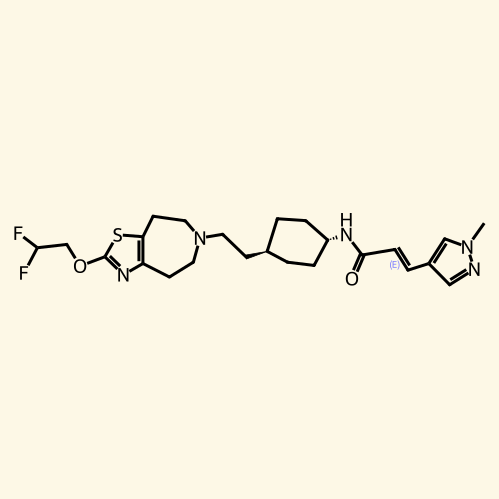 Cn1cc(/C=C/C(=O)N[C@H]2CC[C@H](CCN3CCc4nc(OCC(F)F)sc4CC3)CC2)cn1